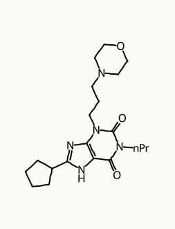 CCCn1c(=O)c2[nH]c(C3CCCC3)nc2n(CCCN2CCOCC2)c1=O